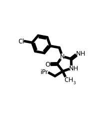 CC(C)CC1(C)NC(=N)N(Cc2ccc(Cl)cc2)C1=O